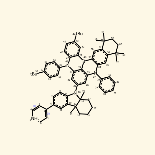 C/C=C(\C=C/N)c1ccc2c(c1)C1(C)CCCCC1(C)N2c1cc2c3c(c1)N(c1ccccc1)c1cc4c(cc1B3c1cc(C(C)(C)C)ccc1N2c1ccc(C(C)(C)C)cc1)C(C)(C)CCC4(C)C